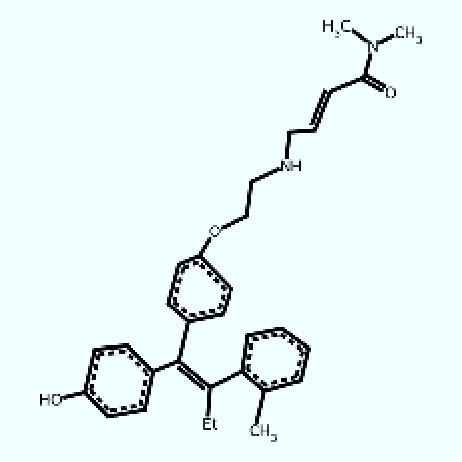 CC/C(=C(\c1ccc(O)cc1)c1ccc(OCCNC/C=C/C(=O)N(C)C)cc1)c1ccccc1C